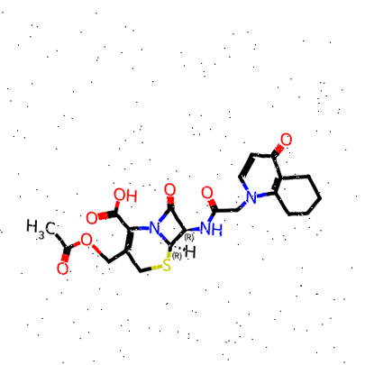 CC(=O)OCC1=C(C(=O)O)N2C(=O)[C@@H](NC(=O)Cn3ccc(=O)c4c3CCCC4)[C@H]2SC1